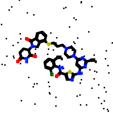 Cc1nc(Nc2ncc(C(=O)Nc3c(C)cccc3Cl)s2)cc(N2CCN(CCCSc3cccc4c3CN(C3CCC(=O)NC3=O)C4=O)CC2)n1